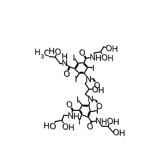 CCC(O)CNC(=O)c1c(I)c(C(=O)NCC(O)CO)c(I)c(N(C=O)CC(O)CN(C=O)c2c(I)c(C(=O)NCC(O)CO)c(I)c(C(=O)NCC(O)CO)c2I)c1I